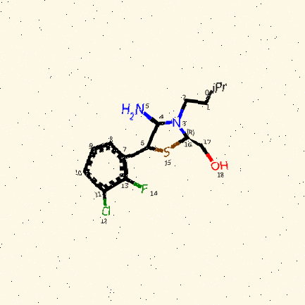 CC(C)CCN1C(N)C(c2cccc(Cl)c2F)S[C@@H]1CO